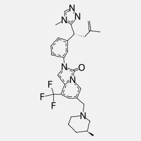 C=C(C)C[C@H](c1cccc(-n2cc3c(C(F)(F)F)cc(CN4CCC[C@H](C)C4)cn3c2=O)c1)c1nncn1C